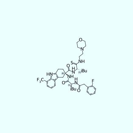 CCC(C)[C@H](NC(=O)Cc1ccccc1F)C(=O)N[C@]1(C(=O)NC(C(=S)NCCN2CCOCC2)[C@@H](C)CC)CCc2[nH]c3c(C(F)(F)F)cccc3c2C1